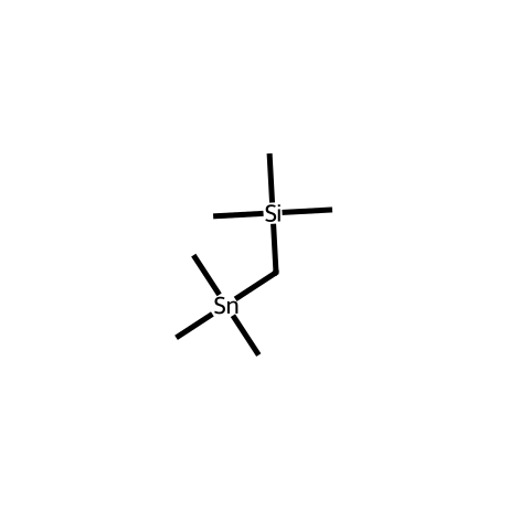 C[Si](C)(C)[CH2][Sn]([CH3])([CH3])[CH3]